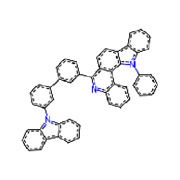 c1ccc(-n2c3ccccc3c3ccc4c(-c5cccc(-c6cccc(-n7c8ccccc8c8ccccc87)c6)c5)nc5ccccc5c4c32)cc1